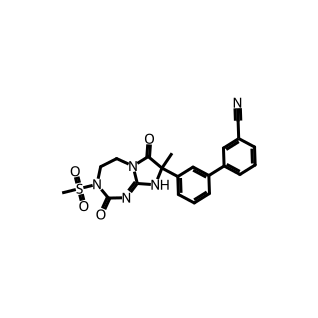 CC1(c2cccc(-c3cccc(C#N)c3)c2)NC2=NC(=O)N(S(C)(=O)=O)CCN2C1=O